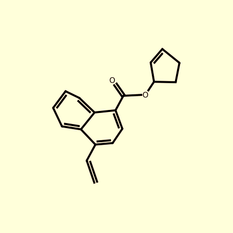 C=Cc1ccc(C(=O)OC2C=CCC2)c2ccccc12